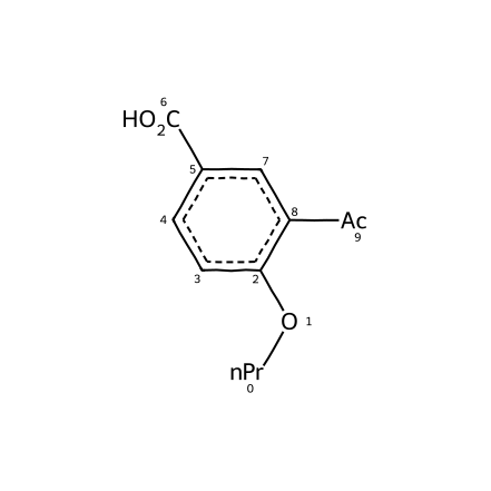 CCCOc1ccc(C(=O)O)cc1C(C)=O